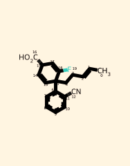 C/C=C/CCC1(c2ccccc2C#N)C=CC(C(=O)O)C=C1F